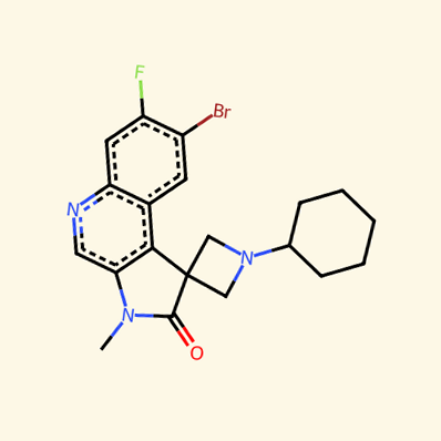 CN1C(=O)C2(CN(C3CCCCC3)C2)c2c1cnc1cc(F)c(Br)cc21